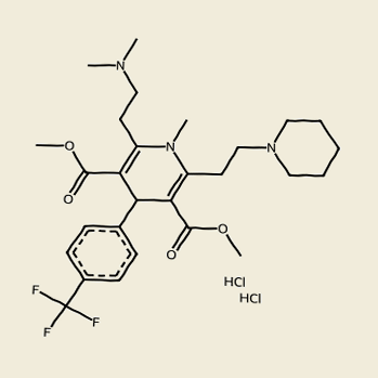 COC(=O)C1=C(CCN(C)C)N(C)C(CCN2CCCCC2)=C(C(=O)OC)C1c1ccc(C(F)(F)F)cc1.Cl.Cl